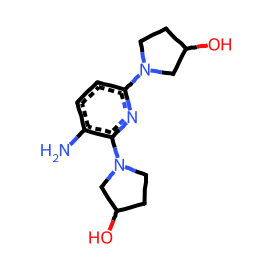 Nc1ccc(N2CCC(O)C2)nc1N1CCC(O)C1